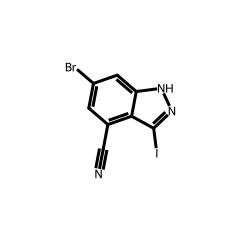 N#Cc1cc(Br)cc2[nH]nc(I)c12